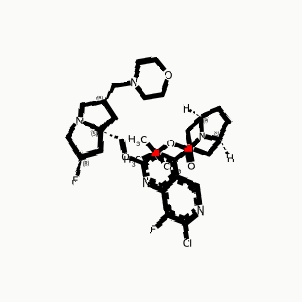 CC(C)(C)OC(=O)N1[C@@H]2CC[C@H]1CN(c1nc(OC[C@]34C[C@@H](F)CN3C[C@@H](CN3CCOCC3)C4)nc3c(F)c(Cl)ncc13)C2